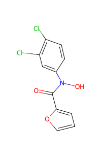 O=C(c1ccco1)N(O)c1ccc(Cl)c(Cl)c1